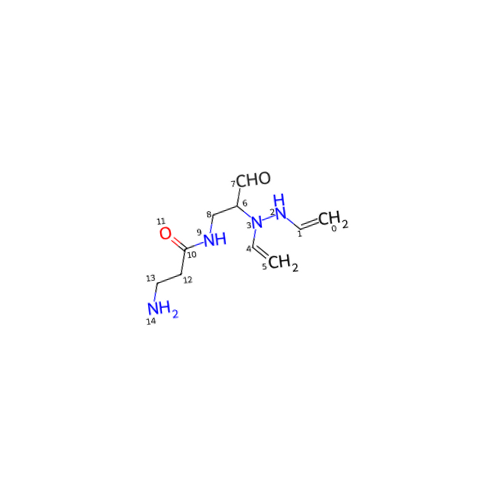 C=CNN(C=C)C(C=O)CNC(=O)CCN